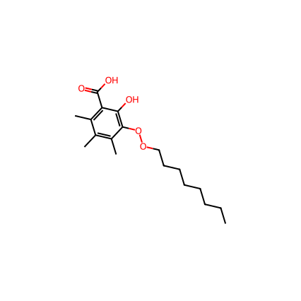 CCCCCCCCOOc1c(C)c(C)c(C)c(C(=O)O)c1O